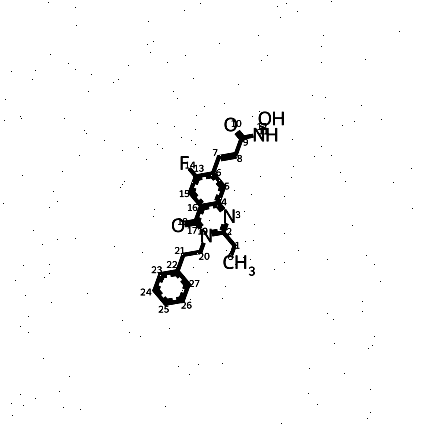 CCc1nc2cc(C=CC(=O)NO)c(F)cc2c(=O)n1CCc1ccccc1